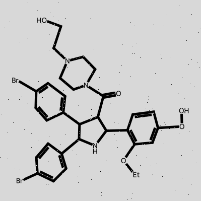 CCOc1cc(OO)ccc1C1NC(c2ccc(Br)cc2)C(c2ccc(Br)cc2)C1C(=O)N1CCN(CCO)CC1